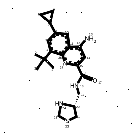 CC(C)(C)c1cc(C2CC2)cc2c(N)cc(C(=O)NC[C@@H]3CSCN3)nc12